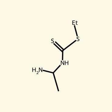 CCSC(=S)NC(C)N